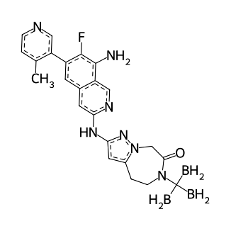 BC(B)(B)N1CCc2cc(Nc3cc4cc(-c5cnccc5C)c(F)c(N)c4cn3)nn2CC1=O